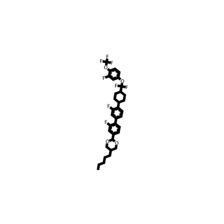 CCCCCC1COC(c2ccc(-c3ccc(C4CCC(C(F)(F)Oc5ccc(OC(F)(F)F)c(F)c5)CC4)c(F)c3)c(F)c2)OC1